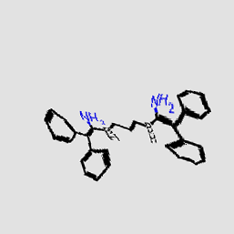 NC(BCCCBC(N)=C(c1ccccc1)c1ccccc1)=C(c1ccccc1)c1ccccc1